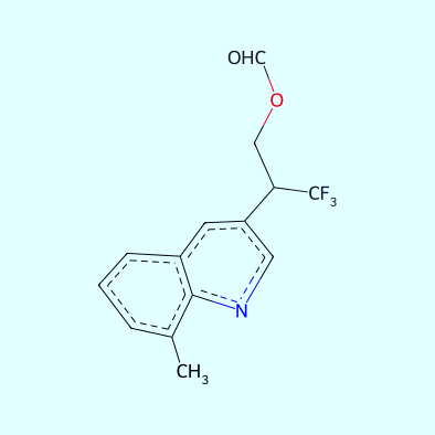 Cc1cccc2cc(C(COC=O)C(F)(F)F)cnc12